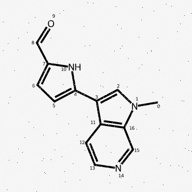 Cn1cc(-c2ccc(C=O)[nH]2)c2ccncc21